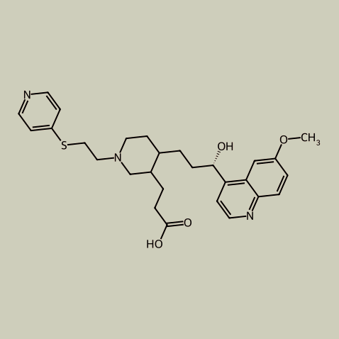 COc1ccc2nccc([C@@H](O)CCC3CCN(CCSc4ccncc4)CC3CCC(=O)O)c2c1